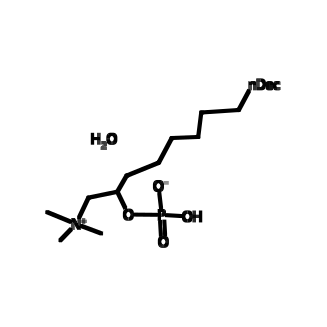 CCCCCCCCCCCCCCCCC(C[N+](C)(C)C)OP(=O)([O-])O.O